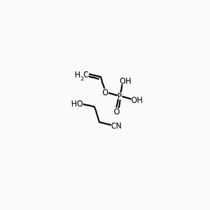 C=COP(=O)(O)O.N#CCCO